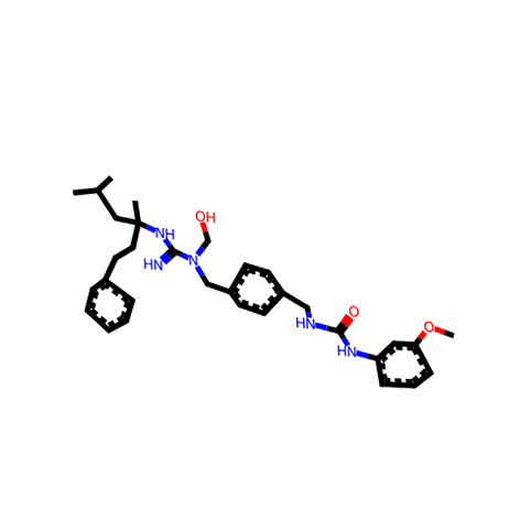 COc1cccc(NC(=O)NCc2ccc(CN(CO)C(=N)NC(C)(CCc3ccccc3)CC(C)C)cc2)c1